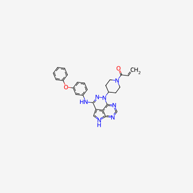 C=CC(=O)N1CCC(N2N=C(Nc3cccc(Oc4ccccc4)c3)c3c[nH]c4ncnc2c34)CC1